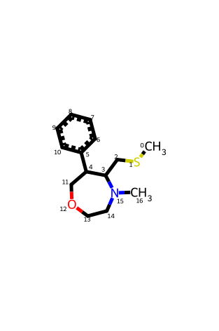 CSCC1C(c2ccccc2)COCCN1C